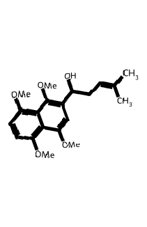 COc1ccc(OC)c2c(OC)c(C(O)CC=C(C)C)cc(OC)c12